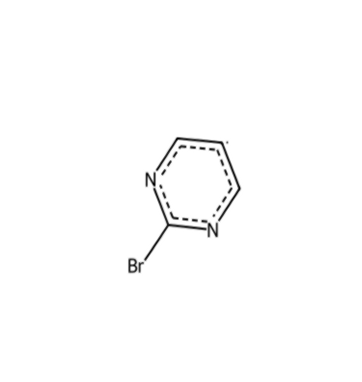 Brc1nc[c]cn1